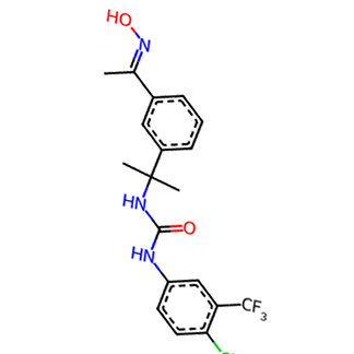 C/C(=N\O)c1cccc(C(C)(C)NC(=O)Nc2ccc(Cl)c(C(F)(F)F)c2)c1